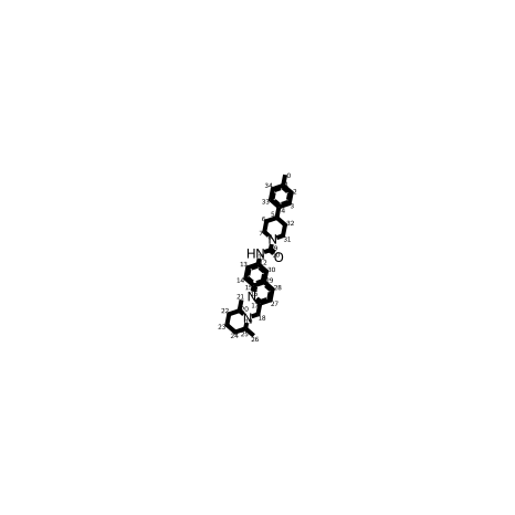 Cc1ccc(C2CCN(C(=O)Nc3ccc4nc(CN5C(C)CCCC5C)ccc4c3)CC2)cc1